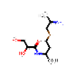 NC(CSCCC(NC(=O)C(O)CO)C(=O)O)C(=O)O